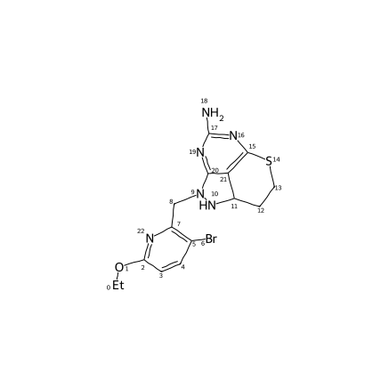 CCOc1ccc(Br)c(CN2NC3CCSc4nc(N)nc2c43)n1